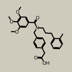 COc1cc(C(=O)N(CCCc2ccccc2C)Cc2ccc(CC(=O)O)cc2)cc(OC)c1OC